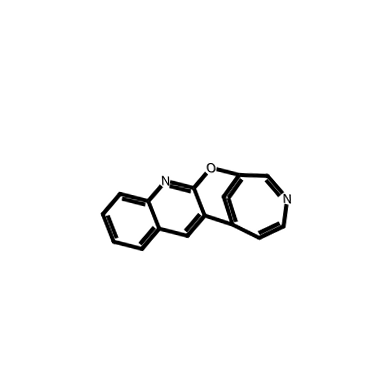 C1=C2C=NC=CC=1c1cc3ccccc3nc1O2